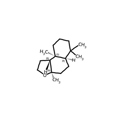 CC1(C)CCC[C@@]2(C)[C@@H]1CC[C@@]1(C)OCC[C@H]21